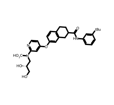 CC(C)(C)c1cccc(NC(=O)C2CCc3ccc(Oc4ccnc(N(C[C@@H](O)CO)C(=O)O)c4)cc3C2)c1